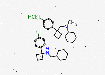 CN(CC1(c2ccc(Cl)cc2)CCC1)C1CCCCC1.Cl.Clc1ccc(C2(NCC3CCCCC3)CCC2)cc1